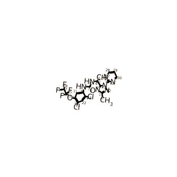 Cc1nc([C@H](C)NC(=O)Nc2cc(OC(F)(F)C(F)F)c(Cl)cc2Cl)n(-c2ncccn2)n1